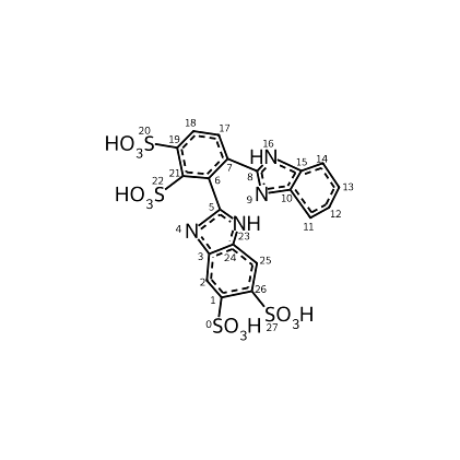 O=S(=O)(O)c1cc2nc(-c3c(-c4nc5ccccc5[nH]4)ccc(S(=O)(=O)O)c3S(=O)(=O)O)[nH]c2cc1S(=O)(=O)O